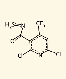 O=C(N=[SH2])c1c(C(F)(F)F)cc(Cl)nc1Cl